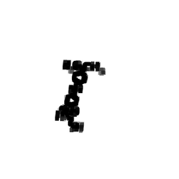 CN(C)c1ccc(/N=N/c2ccc(S(=O)(=O)NCCS)cc2)cc1